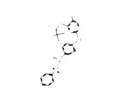 Bc1cnc(Nc2ccc(S(C)=NS(=O)(=O)c3ccccc3)cc2)nc1N[C@H](C)C(C)(C)O